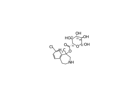 CC1(OC(=O)[C@H]2O[C@@H](O)[C@H](O)[C@@H](O)[C@@H]2O)CNCCc2ccc(Cl)cc21